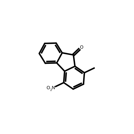 Cc1ccc([N+](=O)[O-])c2c1C(=O)c1ccccc1-2